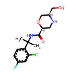 CC(C)(NC(=O)[C@@H]1CN[C@H](CO)CO1)c1ccc(F)cc1Cl